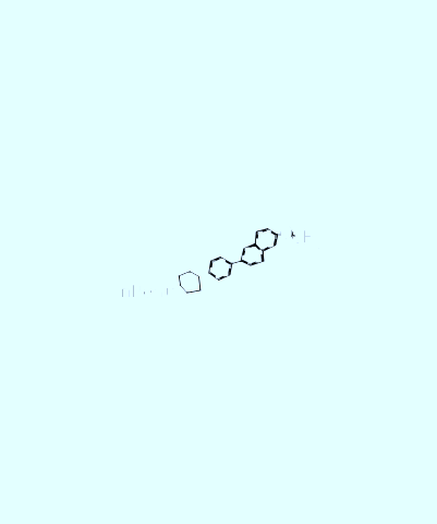 CCCCC[C@H]1CC[C@H](c2ccc(-c3ccc4cc(OC(F)(F)F)ccc4c3)cc2)CC1